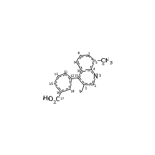 Cc1cnc2c(C(F)(F)F)cccc2c1-c1cccc(C(=O)O)c1